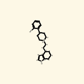 Fc1ccccc1C1CCN(CCC2CCCc3sccc32)CC1